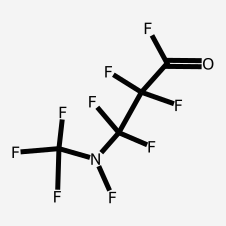 O=C(F)C(F)(F)C(F)(F)N(F)C(F)(F)F